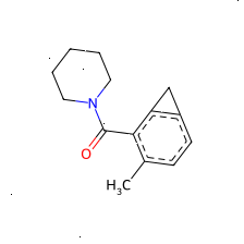 Cc1ccc2c(c1C(=O)N1CCCCC1)C2